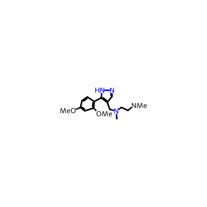 CNCCN(C)Cc1cn[nH]c1-c1ccc(OC)cc1OC